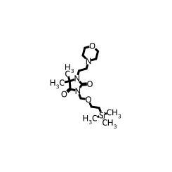 CC1(C)C(=O)N(COCC[Si](C)(C)C)C(=O)N1CCN1CCOCC1